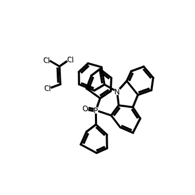 ClC=C(Cl)Cl.O=P(c1ccccc1)(c1ccccc1)c1cccc2c3ccccc3n(-c3ccccc3)c12